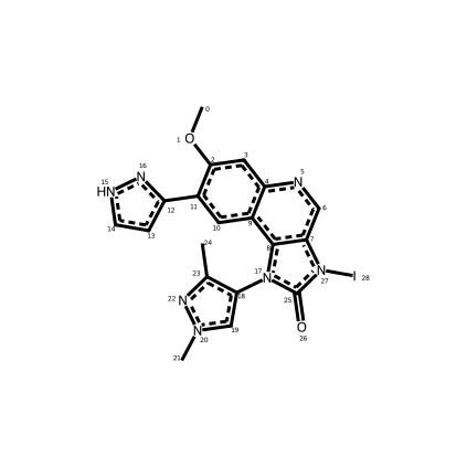 COc1cc2ncc3c(c2cc1-c1cc[nH]n1)n(-c1cn(C)nc1C)c(=O)n3I